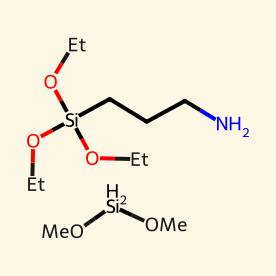 CCO[Si](CCCN)(OCC)OCC.CO[SiH2]OC